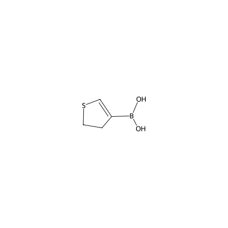 OB(O)C1=CSCC1